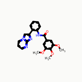 COc1cc(C(=O)Nc2ccccc2-c2cn3cccnc3n2)cc(OC)c1OC